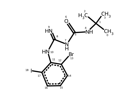 CC(C)(C)NC(=O)NC(=N)Nc1c(Br)cccc1I